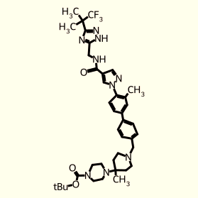 Cc1cc(-c2ccc(CN3CCC(C)(N4CCN(C(=O)OC(C)(C)C)CC4)CC3)cc2)ccc1-n1cc(C(=O)NCc2nc(C(C)(C)C(F)(F)F)n[nH]2)cn1